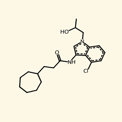 CC(O)Cn1cc(NC(=O)CCC2CCCCCC2)c2c(Cl)cccc21